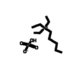 CCCCC[N+](CC)(CC)CC.O=S(=O)([O-])O